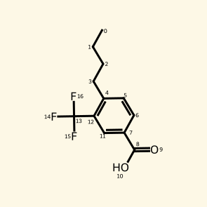 CCCCc1ccc(C(=O)O)cc1C(F)(F)F